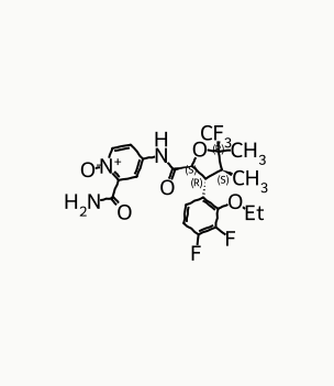 CCOc1c([C@@H]2[C@@H](C(=O)Nc3cc[n+]([O-])c(C(N)=O)c3)O[C@@](C)(C(F)(F)F)[C@H]2C)ccc(F)c1F